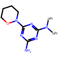 CCCN(CCC)c1nc(N)nc(N2CCCCO2)n1